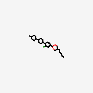 C=CCCCC1COC(c2ccc(C3CCC(C4CCC(C)CC4)CC3)c(F)c2)OC1